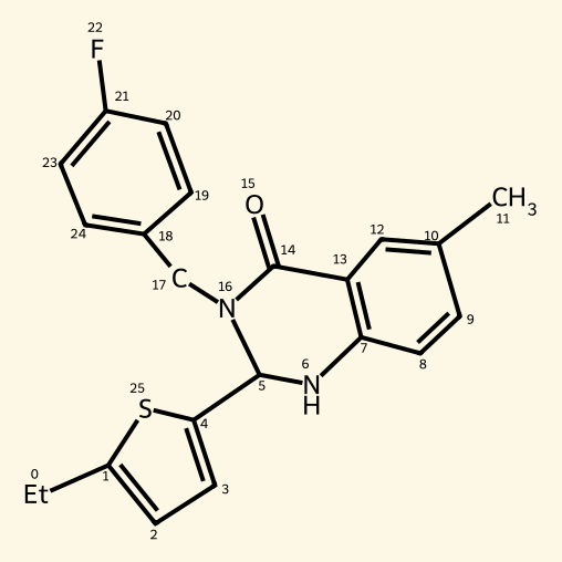 CCc1ccc(C2Nc3ccc(C)cc3C(=O)N2Cc2ccc(F)cc2)s1